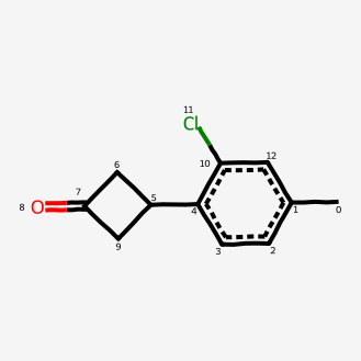 Cc1ccc(C2CC(=O)C2)c(Cl)c1